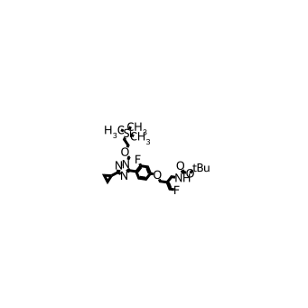 CC(C)(C)OC(=O)NC/C(=C\F)COc1ccc(-c2nc(C3CC3)nn2COCC[Si](C)(C)C)c(F)c1